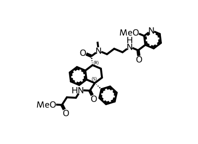 COC(=O)CCNC(=O)[C@]1(c2ccccc2)CC[C@@H](C(=O)N(C)CCCNC(=O)c2cccnc2OC)c2ccccc21